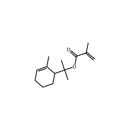 C=C(C)C(=O)OC(C)(C)C1CCCC=C1C